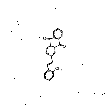 Cc1ccccc1C=Cc1ccc2c(c1)C(=O)c1ccccc1C2=O